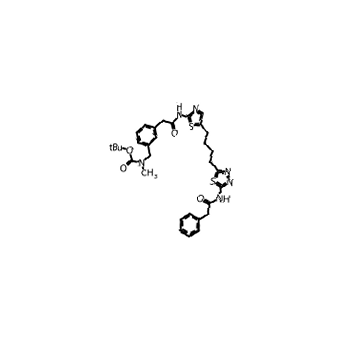 CN(Cc1cccc(CC(=O)Nc2ncc(CCCCc3nnc(NC(=O)Cc4ccccc4)s3)s2)c1)C(=O)OC(C)(C)C